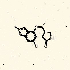 C[C@@H](Oc1cc(Cl)cc2nn(C)cc12)[C@H]1CNC(=O)C1